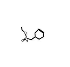 CCO[PH](=O)CC1CC=CCC1